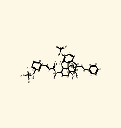 CC(=O)Oc1ccc2c3c1OC1C(N(C)C(=O)/C=C/c4cccc(OC(F)(F)F)c4)CC[C@@]4(O)[C@@H](C2)N(CCc2ccccc2)CC[C@]314